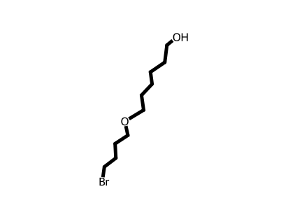 OCCCCCCOCCCCBr